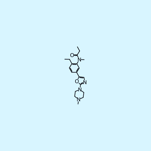 CCC(=O)N(C)c1cc(-c2cnc(N3CCN(C)CC3)o2)ccc1CC